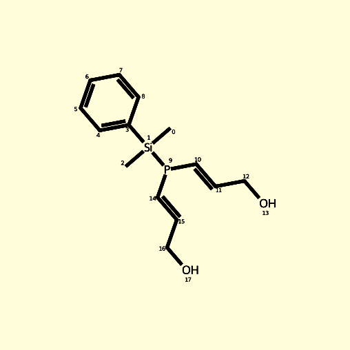 C[Si](C)(c1ccccc1)P(/C=C/CO)/C=C/CO